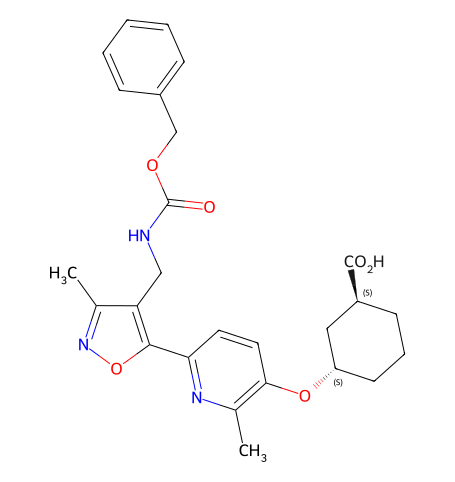 Cc1nc(-c2onc(C)c2CNC(=O)OCc2ccccc2)ccc1O[C@H]1CCC[C@H](C(=O)O)C1